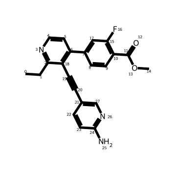 CCc1nccc(-c2ccc(C(=O)OC)c(F)c2)c1C#Cc1ccc(N)nc1